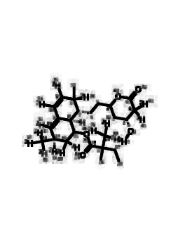 [2H]O[C@@H]1CC(CC[C@@H]2[C@@H]3C(=C([2H])[C@]([2H])(C([2H])([2H])[2H])C([2H])([2H])C3OC(=O)C(C)(CC)C([2H])([2H])[2H])C([2H])=C([2H])[C@]2([2H])C)OC(=O)C1([2H])[2H]